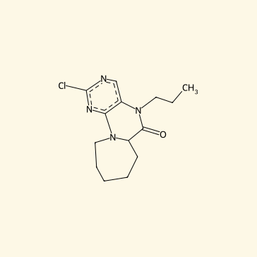 CCCN1C(=O)C2CCCCCN2c2nc(Cl)ncc21